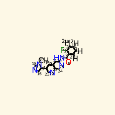 [2H]c1c([2H])c([2H])c(C(=O)Nc2cc3cc(-c4cncn4C)cnc3cn2)c(F)c1[2H]